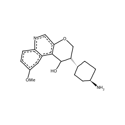 COc1ccc2ncc3c(c2c1)C(O)C([C@H]1CC[C@H](N)CC1)CO3